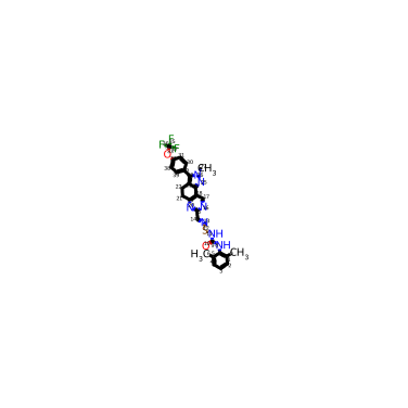 Cc1cccc(C)c1NC(=O)NS/N=C/c1ncc2c(n1)CCc1c-2nn(C)c1-c1ccc(OC(F)(F)F)cc1